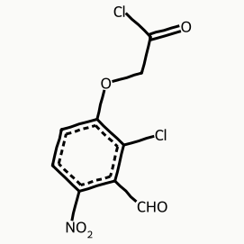 O=Cc1c([N+](=O)[O-])ccc(OCC(=O)Cl)c1Cl